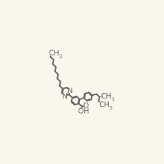 CCCCCCCCCCc1cnc(-c2ccc(C(=O)O)c(-c3ccc(C[C@@H](C)CC)cc3)c2)nc1